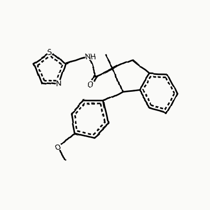 COc1ccc(C2c3ccccc3CC2(C)C(=O)Nc2nccs2)cc1